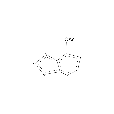 CC(=O)Oc1cccc2s[c]nc12